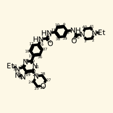 CCN1CCN(C(=O)Nc2ccc(NC(=O)Nc3ccc(-c4nc(N5CCOCC5)c5nnn(CC)c5n4)cc3)cc2)CC1